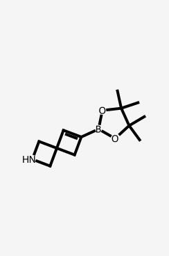 CC1(C)OB(C2=CC3(CNC3)C2)OC1(C)C